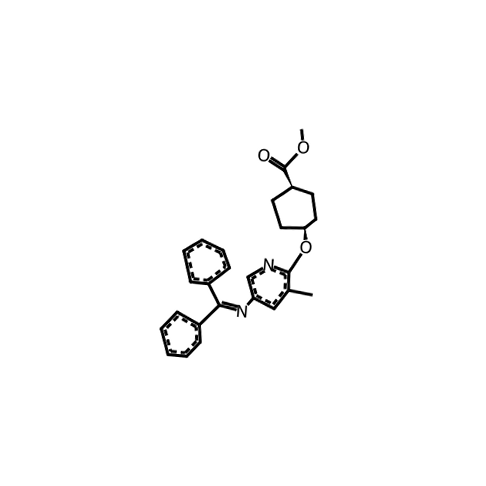 COC(=O)[C@H]1CC[C@@H](Oc2ncc(N=C(c3ccccc3)c3ccccc3)cc2C)CC1